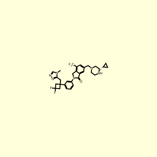 Cn1cnnc1CC1(c2cccc(N3Cc4c(cc(CN5CCN[C@@H](C6CC6)C5)cc4C(F)(F)F)C3=O)c2)CC(F)(F)C1